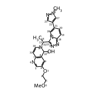 COCCOc1cnc2c(c1)C(O)N([C@@H](C)c1nnc3ccc(-c4cnn(C)c4)cn13)C=C2